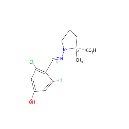 C[C@]1(C(=O)O)CCCN1/N=C/c1c(Cl)cc(O)cc1Cl